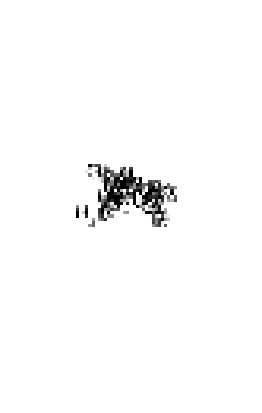 CN1CCN(C(=O)OC2c3nccnc3C(=O)N2c2ccc(Cl)cn2)CC1.O=C(OC(C(=O)O)C(OC(=O)c1ccccc1)C(=O)O)c1ccccc1